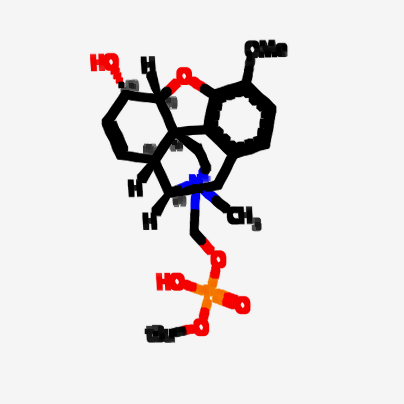 COc1ccc2c3c1O[C@H]1[C@@H](O)C=C[C@H]4[C@@H](C2)[N+](C)(COP(=O)(O)OC(C)(C)C)CC[C@@]341